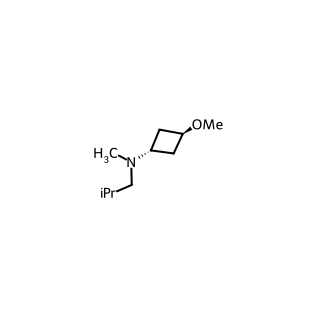 CO[C@H]1C[C@H](N(C)CC(C)C)C1